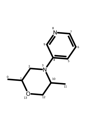 CC1CN(c2cccnc2)C(C)CO1